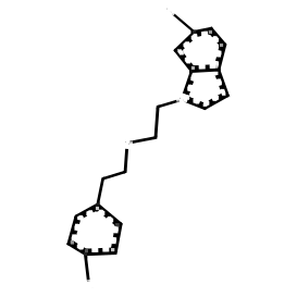 O=[N+]([O-])c1ccc2ccn(CCNCCc3ccc(Br)cc3)c2c1